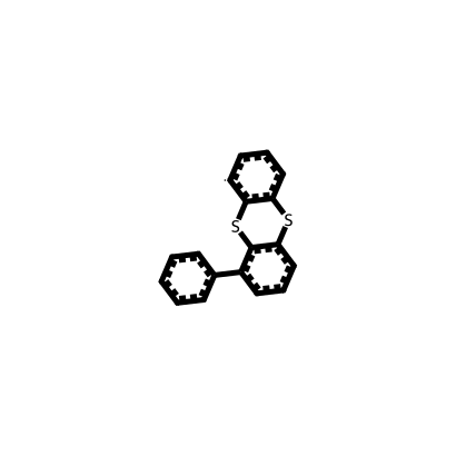 [c]1cccc2c1Sc1c(cccc1-c1ccccc1)S2